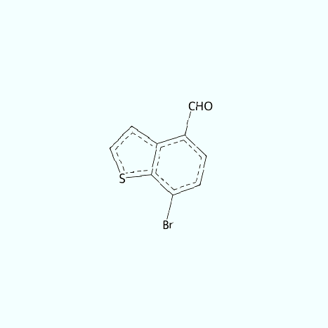 O=Cc1ccc(Br)c2sccc12